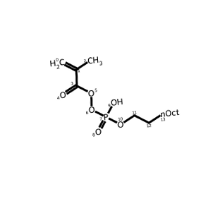 C=C(C)C(=O)OOP(=O)(O)OCCCCCCCCCC